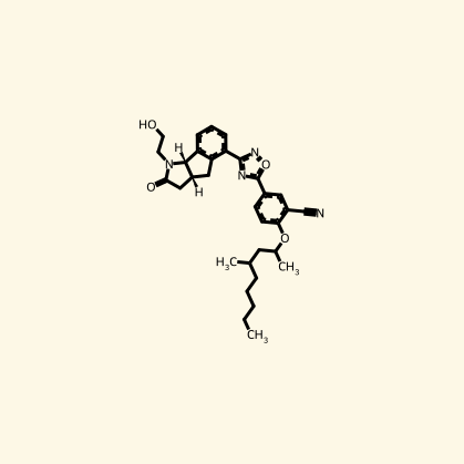 CCCCCC(C)CC(C)Oc1ccc(-c2nc(-c3cccc4c3C[C@@H]3CC(=O)N(CCO)[C@H]43)no2)cc1C#N